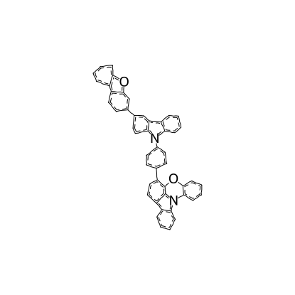 c1ccc2c(c1)Oc1c(-c3ccc(-n4c5ccccc5c5cc(-c6ccc7c(c6)oc6ccccc67)ccc54)cc3)ccc3c4ccccc4n-2c13